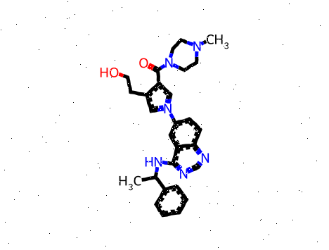 CC(Nc1ncnc2ccc(-n3cc(CCO)c(C(=O)N4CCN(C)CC4)c3)cc12)c1ccccc1